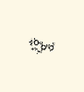 Cc1cc(Oc2cc(O[C@@H](C)CO)cc(-c3nccc(=O)[nH]3)c2)ccc1S(C)(=O)=O